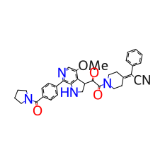 COc1cnc(-c2ccc(C(=O)N3CCCC3)cc2)c2c1C(C(=O)C(=O)N1CCC(=C(C#N)c3ccccc3)CC1)CN2